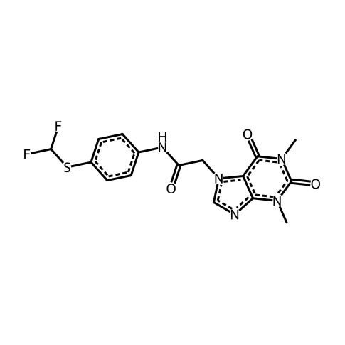 Cn1c(=O)c2c(ncn2CC(=O)Nc2ccc(SC(F)F)cc2)n(C)c1=O